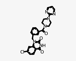 O=C(c1cccc(Cn2c(=O)[nH]c(=O)c3ccc(Cl)cc32)c1)N1CCN(c2ncccn2)CC1